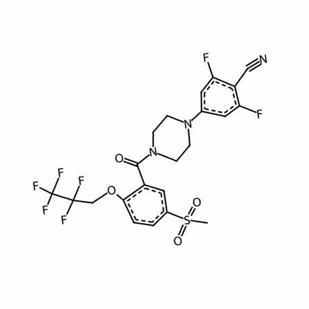 CS(=O)(=O)c1ccc(OCC(F)(F)C(F)(F)F)c(C(=O)N2CCN(c3cc(F)c(C#N)c(F)c3)CC2)c1